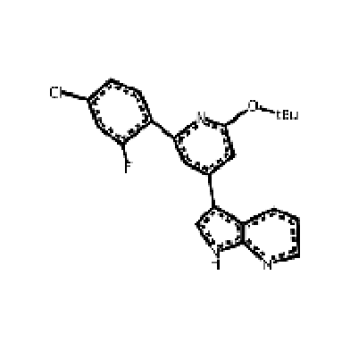 CC(C)(C)Oc1cc(-c2c[nH]c3ncccc23)cc(-c2ccc(Cl)cc2F)n1